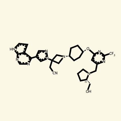 N#CCC1(n2cc(-c3ncnc4[nH]ccc34)cn2)CN([C@H]2CC[C@@H](Oc3cc(CN4CCC[C@H]4CO)nc(C(F)(F)F)n3)CC2)C1